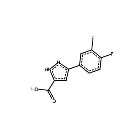 O=C(O)c1cc(-c2ccc(F)c(F)c2)n[nH]1